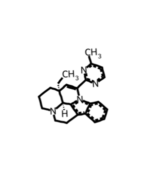 CC[C@@]12C=C(c3nccc(C)n3)n3c4c(c5ccccc53)CCN(CCC1)[C@H]42